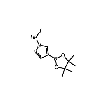 CC1(C)OB(c2cnn(PI)c2)OC1(C)C